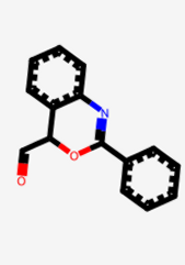 O=CC1OC(c2ccccc2)=Nc2ccccc21